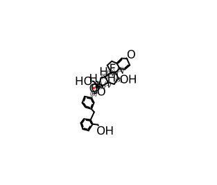 C[C@]12C=CC(=O)C=C1CC[C@H]1[C@@H]3C[C@H]4O[C@@H](c5cccc(Cc6ccccc6CO)c5)O[C@@]4(C(=O)CO)[C@@]3(C)C[C@H](O)[C@@]12F